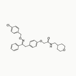 O=C(COc1ccc(CC(=NOCc2ccc(Cl)cc2)c2ccccc2)cc1)NCC1CCOCC1